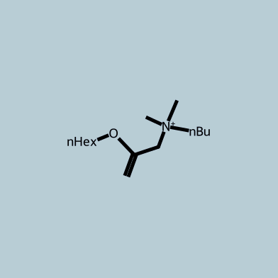 C=C(C[N+](C)(C)CCCC)OCCCCCC